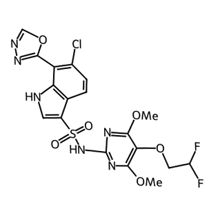 COc1nc(NS(=O)(=O)c2c[nH]c3c(-c4nnco4)c(Cl)ccc23)nc(OC)c1OCC(F)F